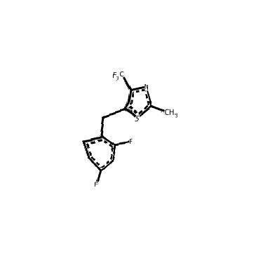 Cc1nc(C(F)(F)F)c(Cc2ccc(F)cc2F)s1